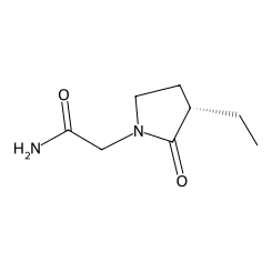 CC[C@H]1CCN(CC(N)=O)C1=O